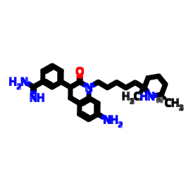 C[C@H]1CCC[C@@](C)(CCCCCN2C(=O)C(c3cccc(C(=N)N)c3)Cc3ccc(N)cc32)N1